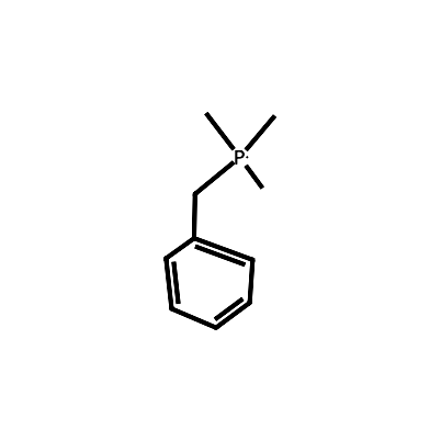 C[P](C)(C)Cc1ccccc1